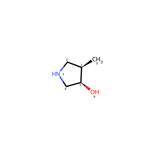 C[C@@H]1CNC[C@@H]1O